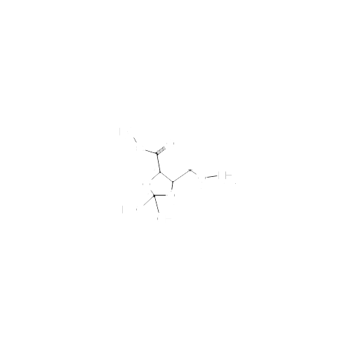 COC(=O)C1OC(C)(C)OC1COP